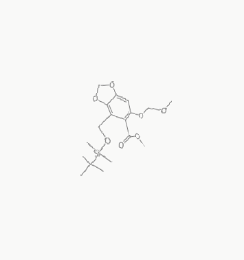 COCOc1cc2c(c(CO[Si](C)(C)C(C)(C)C)c1C(=O)OC)OCO2